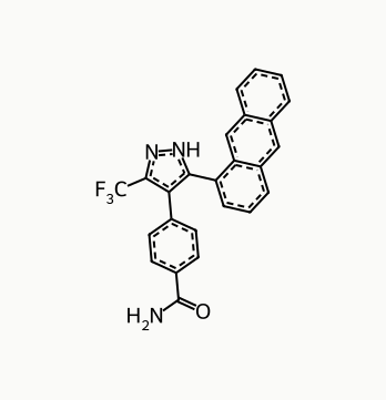 NC(=O)c1ccc(-c2c(C(F)(F)F)n[nH]c2-c2cccc3cc4ccccc4cc23)cc1